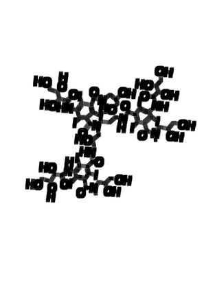 CN(CC(O)CO)C(=O)c1c(I)c(NC(=O)C(O)C(O)CO)c(I)c(C(=O)NCCCN(CC(O)CNC(=O)c2c(I)c(NC(=O)C(O)C(O)CO)c(I)c(C(=O)N(C)CC(O)CO)c2I)C(=O)c2c(I)c(NC(=O)C(O)C(O)CO)c(I)c(C(=O)N(C)CC(O)CO)c2I)c1I